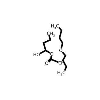 CCCC(O)OC(C)=O.CCCCOCCCC